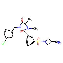 CC(C(=O)NCc1ccc(Cl)cc1)N(C)C(=O)c1cccc(S(=O)(=O)N2CC(C#N)C2)c1